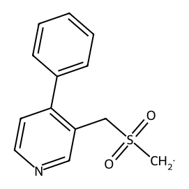 [CH2]S(=O)(=O)Cc1cnccc1-c1ccccc1